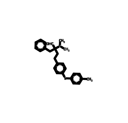 Cc1ccc(Sc2ccc(CCC(C=O)(Cc3ccccc3)N(C)C)cc2)cc1